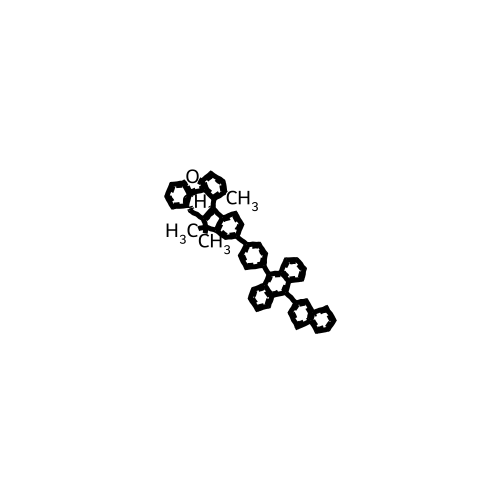 C=CC1=C(c2c(C)ccc3oc4ccccc4c23)c2ccc(-c3ccc(-c4c5ccccc5c(-c5ccc6ccccc6c5)c5ccccc45)cc3)cc2C1(C)C